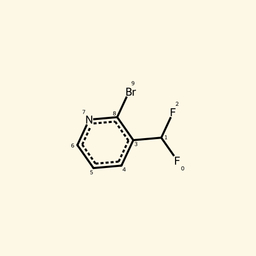 FC(F)c1cccnc1Br